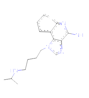 CC(C)NCCCCn1cnc2c(N)nc3ccccc3c21